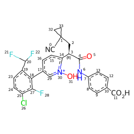 N#CC1(C[C@@H](C(=O)Nc2ccc(C(=O)O)cc2)c2ccc(-c3c(C(F)F)ccc(Cl)c3F)c[n+]2O)CC1